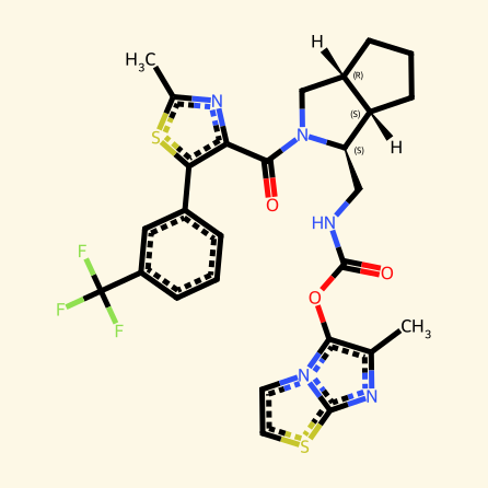 Cc1nc(C(=O)N2C[C@@H]3CCC[C@@H]3[C@H]2CNC(=O)Oc2c(C)nc3sccn23)c(-c2cccc(C(F)(F)F)c2)s1